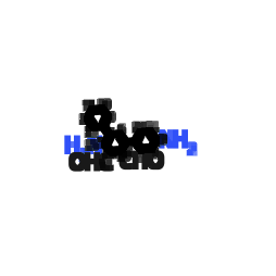 Nc1ccc(-c2cc(-c3ccccc3)c(N)c(C=O)c2C=O)cc1